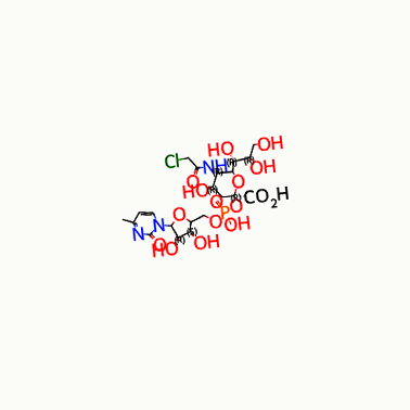 Cc1ccn(C2OC(COP(=O)(O)O[C@@]3(C(=O)O)C[C@@H](O)[C@@H](NC(=O)CCl)C([C@H](O)[C@H](O)CO)O3)[C@@H](O)[C@H]2O)c(=O)n1